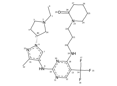 CCN1CC[C@@H](n2cc(Nc3ncc(C(F)(F)F)c(NCCCN4CCCCC4=O)n3)c(C)n2)C1